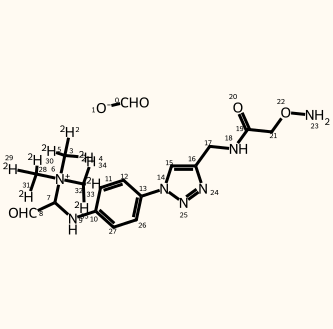 O=C[O-].[2H]C([2H])([2H])[N+](C(C=O)Nc1ccc(-n2cc(CNC(=O)CON)nn2)cc1)(C([2H])([2H])[2H])C([2H])([2H])[2H]